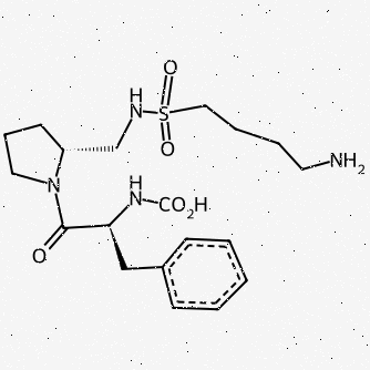 NCCCCS(=O)(=O)NC[C@H]1CCCN1C(=O)[C@H](Cc1ccccc1)NC(=O)O